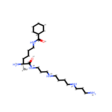 CCC(C)[C@](N)(CCCCNC(=O)C1CCCCC1)C(=O)NCCCNCCCCNCCCN